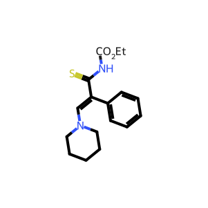 CCOC(=O)NC(=S)C(=CN1CCCCC1)c1ccccc1